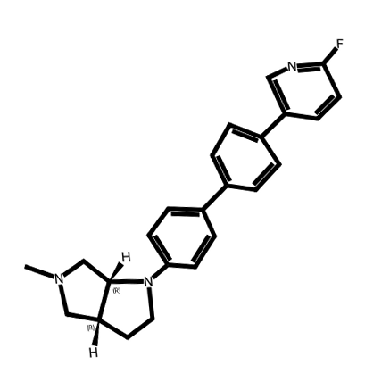 CN1C[C@H]2CCN(c3ccc(-c4ccc(-c5ccc(F)nc5)cc4)cc3)[C@H]2C1